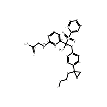 CCCCC1(c2ccc(CC(N)(c3cccc(NCC(=O)O)n3)S(=O)(=O)c3ccccn3)cc2)CC1